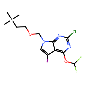 C[Si](C)(C)CCOCn1cc(I)c2c(OC(F)F)nc(Cl)nc21